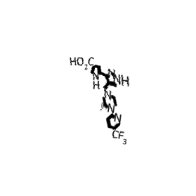 C[C@@H]1CN(Cc2c[nH]nc2-c2cc(C(=O)O)c[nH]2)CCN1c1ccc(C(F)(F)F)cn1